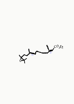 CCOC(=O)/C=C(\C)CC/C=C(\C)CCC1(C)OC1(C)C